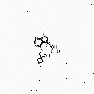 N#Cc1c[nH]c2ncnc(NCC3(O)CCC3)c12.O=CO